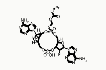 CC(C)OC(=O)OCSP1(=O)OC[C@H]2O[C@@H](n3cnc4c(N)ncnc43)[C@@H](F)C2OP(=O)(O)OC[C@H]2O[C@@H](n3cnc4c(N)ncnc43)[C@@H](O1)C2O